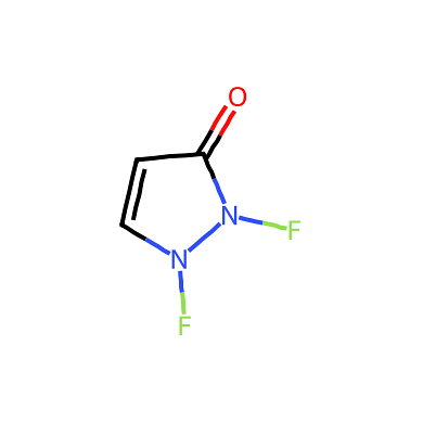 O=c1ccn(F)n1F